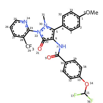 COc1ccc(-c2c(NC(=O)c3ccc(OC(F)F)cc3)c(=O)n(-c3ncccc3C(F)(F)F)n2C)cc1